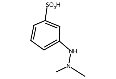 CN(C)Nc1cccc(S(=O)(=O)O)c1